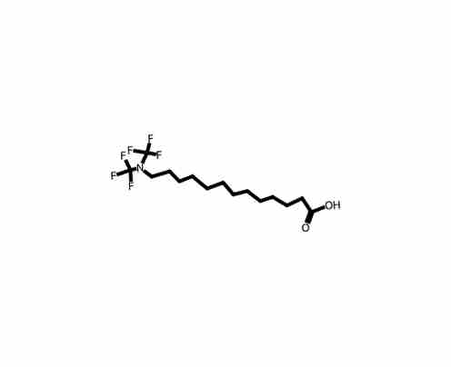 O=C(O)CCCCCCCCCCCCN(C(F)(F)F)C(F)(F)F